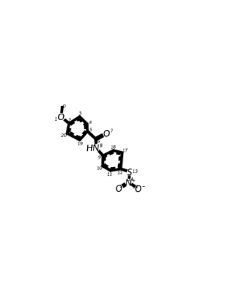 COc1ccc(C(=O)Nc2ccc(S[N+](=O)[O-])cc2)cc1